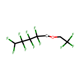 FC(F)C(F)(F)C(F)(F)C(F)(F)COCC(F)(F)F